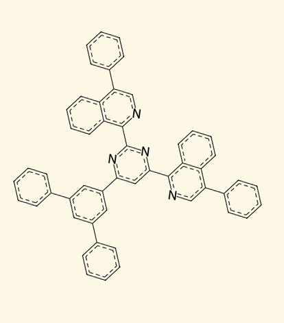 c1ccc(-c2cc(-c3ccccc3)cc(-c3cc(-c4ncc(-c5ccccc5)c5ccccc45)nc(-c4ncc(-c5ccccc5)c5ccccc45)n3)c2)cc1